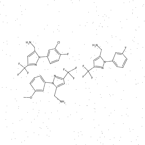 COc1cccc(-n2nc(C(F)(F)F)cc2CN)c1.NCc1cc(C(F)(F)F)nn1-c1ccc(F)c(Cl)c1.NCc1cc(C(F)(F)F)nn1-c1cccc(F)c1